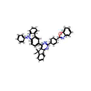 CC1(C)c2ccccc2-c2nc(-c3ccc(-c4nc5ccccc5o4)cc3)nc(-c3ccc4c(c3)c3ccccc3n4-c3ccccc3)c21